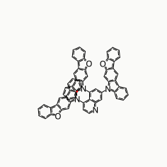 c1ccc2c(c1)oc1cc3c(cc12)c1ccccc1n3-c1cc(-n2c3ccccc3c3cc4c(cc32)oc2ccccc24)c2c(-n3c4ccccc4c4cc5c(cc43)oc3ccccc35)ccnc2c1